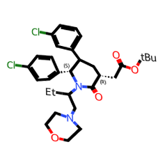 CCC(CN1CCOCC1)N1C(=O)[C@@H](CC(=O)OC(C)(C)C)CC(c2cccc(Cl)c2)[C@H]1c1ccc(Cl)cc1